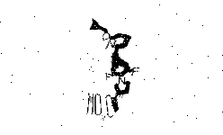 O=C(O)C[C@@H]1CCN(c2c(F)cc(-c3cccc(OCC4CC4)n3)cc2F)C1